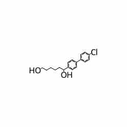 OCCCCCC(O)c1ccc(-c2ccc(Cl)cc2)cc1